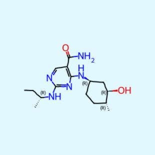 CC[C@@H](C)Nc1ncc(C(N)=O)c(N[C@@H]2CC[C@@H](C)[C@H](O)C2)n1